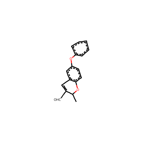 CC1Oc2ccc(Oc3ccccc3)cc2C=C1C=O